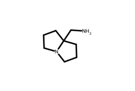 NCC12CCCN1CCC2